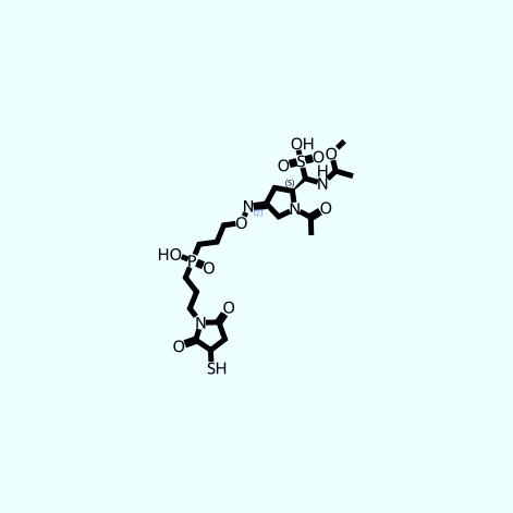 COC(C)NC([C@@H]1C/C(=N/OCCCP(=O)(O)CCCN2C(=O)CC(S)C2=O)CN1C(C)=O)S(=O)(=O)O